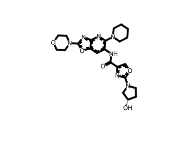 O=C(Nc1cc2oc(N3CCOCC3)nc2nc1N1CCCCC1)c1coc(N2CC[C@H](O)C2)n1